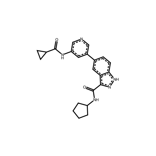 O=C(NC1CCCC1)c1n[nH]c2ccc(-c3cncc(NC(=O)C4CC4)c3)cc12